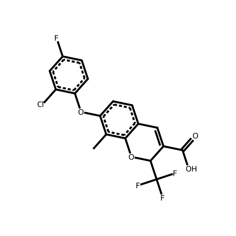 Cc1c(Oc2ccc(F)cc2Cl)ccc2c1OC(C(F)(F)F)C(C(=O)O)=C2